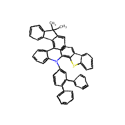 CC1(C)c2ccccc2-c2c(-c3ccccc3N(c3ccc(-c4ccccc4)c(-c4ccccc4)c3)c3cccc4c3sc3ccccc34)cccc21